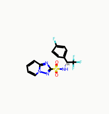 O=S(=O)(N[C@H](c1ccc(F)cc1)C(F)(F)F)c1nc2ccccn2n1